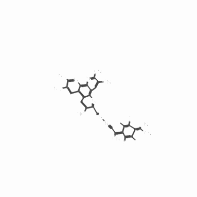 N#CC(C#N)=c1c(F)c(F)c(=C(C#N)C#[N+][N+]#Cc2nc3c(cc2C#N)c2cc(C#N)c(C#N)nc2c2nc(C#N)c(C#N)cc32)c(F)c1F